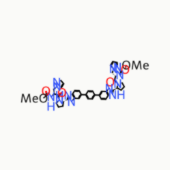 COO/C=N/[C@@H](Cn1cccn1)C(=O)N1CCC[C@H]1c1nc2cc(-c3ccc(-c4ccc5[nH]c([C@@H]6CCCN6C(=O)[C@H](Cn6cccn6)NC(=O)OC)nc5c4)cc3)ccc2[nH]1